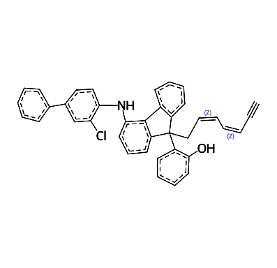 C#C/C=C\C=C/CC1(c2ccccc2O)c2ccccc2-c2c(Nc3ccc(-c4ccccc4)cc3Cl)cccc21